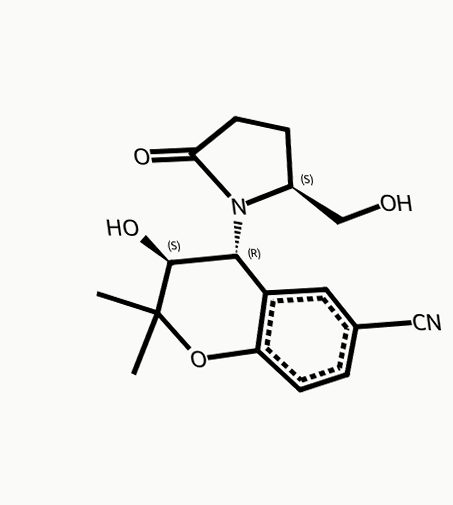 CC1(C)Oc2ccc(C#N)cc2[C@@H](N2C(=O)CC[C@H]2CO)[C@@H]1O